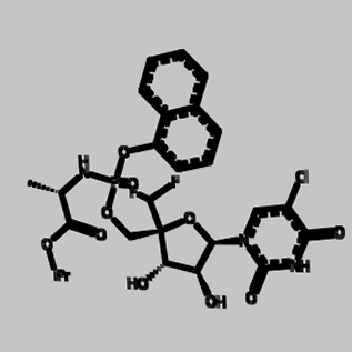 CC(C)OC(=O)[C@H](C)NP(=O)(OC[C@@]1(C(F)F)O[C@@H](n2cc(Cl)c(=O)[nH]c2=O)[C@@H](O)[C@@H]1O)Oc1cccc2ccccc12